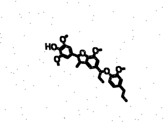 CCCc1ccc(OC(CC)c2cc(OC)c3c(c2)C(C)C(c2cc(OC)c(O)c(OC)c2)O3)c(OC)c1